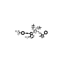 Cc1noc(-c2ccccc2)c1CSC[C@H]1O[C@@H](n2cc(C#Cc3ccc(C(N)=O)cc3)c3c(N)ncnc32)[C@H](O[Si](C)(C)C(C)(C)C)[C@@H]1O[Si](C)(C)C(C)(C)C